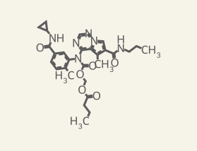 CCCNC(=O)c1cn2ncnc(N(C(=O)OCOC(=O)CCC)c3cc(C(=O)NC4CC4)ccc3C)c2c1C